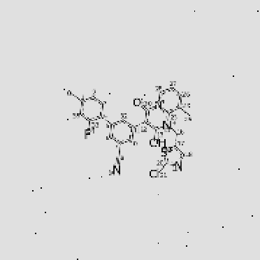 Cc1ccc(-c2cc(C#N)cc(-c3c(O)[n+](Cc4cnc(Cl)s4)c4c(C)cccn4c3=O)c2)c(F)c1